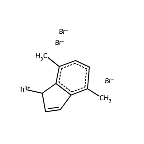 Cc1ccc(C)c2c1C=C[CH]2[Ti+3].[Br-].[Br-].[Br-]